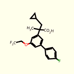 CC(CC1CC1)(C(=O)O)c1cc(OCC(F)(F)F)cc(-c2ccc(F)cc2)c1